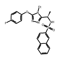 CCn1c(Oc2ccc(F)cc2)nnc1[C@@H](C)NS(=O)(=O)c1ccc2ccccc2c1